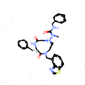 CN(C(=O)NCc1ccccc1)N1CCN(Cc2cccc3scnc23)C(=O)[C@H](Cc2ccccc2)NC(=O)C1